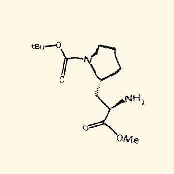 COC(=O)[C@H](N)C[C@H]1CCCN1C(=O)OC(C)(C)C